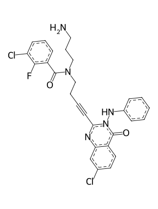 NCCCN(CCC#Cc1nc2cc(Cl)ccc2c(=O)n1Nc1ccccc1)C(=O)c1cccc(Cl)c1F